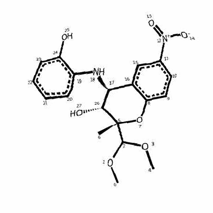 COC(OC)[C@@]1(C)Oc2ccc([N+](=O)[O-])cc2[C@H](Nc2ccccc2O)[C@H]1O